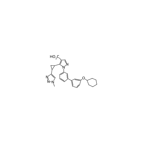 Cn1cc(C2CC2c2c(C(=O)O)cnn2-c2cccc(-c3cccc(OC4CCCCC4)c3)c2)nn1